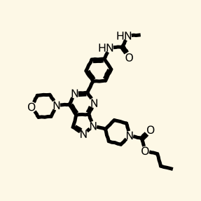 CCCOC(=O)N1CCC(n2ncc3c(N4CCOCC4)nc(-c4ccc(NC(=O)NC)cc4)nc32)CC1